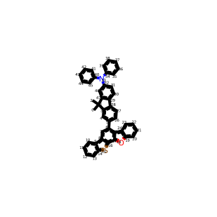 CC1(C)c2cc(-c3cc4c5ccccc5sc4c4oc5ccccc5c34)ccc2-c2ccc(N(c3ccccc3)c3ccccc3)cc21